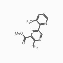 COC(=O)c1nc(-c2ncccc2C(F)(F)F)cnc1N